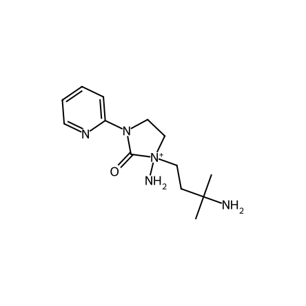 CC(C)(N)CC[N+]1(N)CCN(c2ccccn2)C1=O